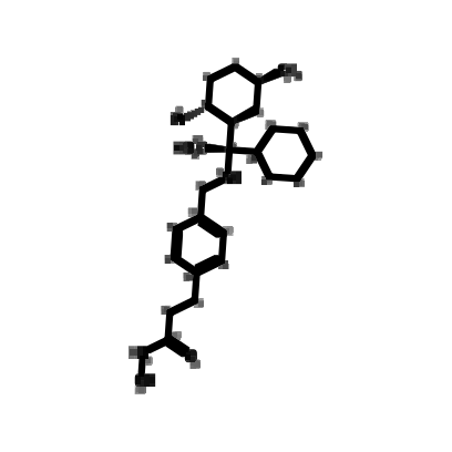 CC(C)[C@@H]1CC[C@@H](C)C[C@H]1[C@](NCc1ccc(CCC(=O)NO)cc1)(C(=O)O)C1CCCCC1